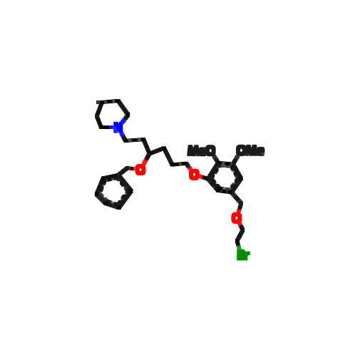 COc1cc(COCCBr)cc(OCCCC(CCN2CC[CH]CC2)OCc2ccccc2)c1OC